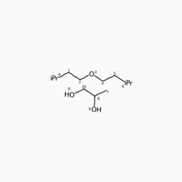 CC(C)CCOCCC(C)C.CC(O)CO